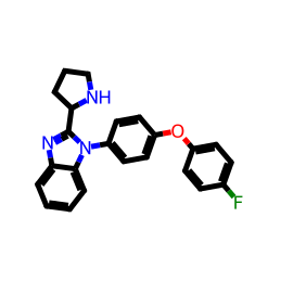 Fc1ccc(Oc2ccc(-n3c(C4CCCN4)nc4ccccc43)cc2)cc1